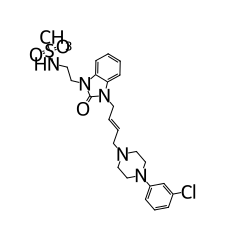 CS(=O)(=O)NCCn1c(=O)n(C/C=C/CN2CCN(c3cccc(Cl)c3)CC2)c2ccccc21